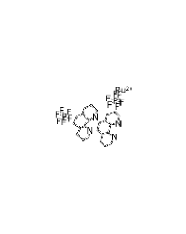 F[P-](F)(F)(F)(F)F.F[P-](F)(F)(F)(F)F.[Ru+2].c1cnc2c(c1)ccc1cccnc12.c1cnc2c(c1)ccc1cccnc12